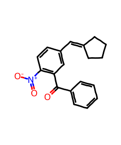 O=C(c1ccccc1)c1cc(C=C2CCCC2)ccc1[N+](=O)[O-]